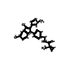 Cn1nnc(-c2c(Cl)c3cc(Cl)ccc3n2-c2ccc(CNC(=O)C3(N)CC3)cc2)n1